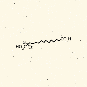 CCC(CC)(CCCCCCCCCCCCC(=O)O)C(=O)O